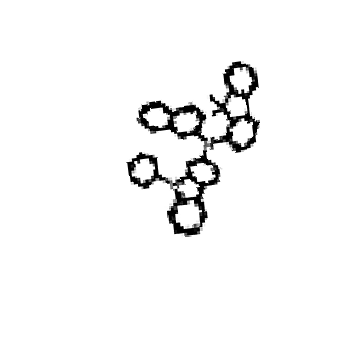 CC1(C)c2ccccc2-c2cccc(N(c3ccc4ccccc4c3)c3ccc4c5ccccc5n(-c5ccccc5)c4c3)c21